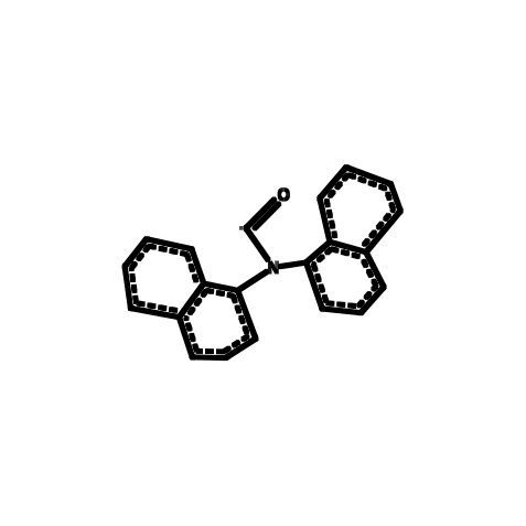 O=[C]N(c1cccc2ccccc12)c1cccc2ccccc12